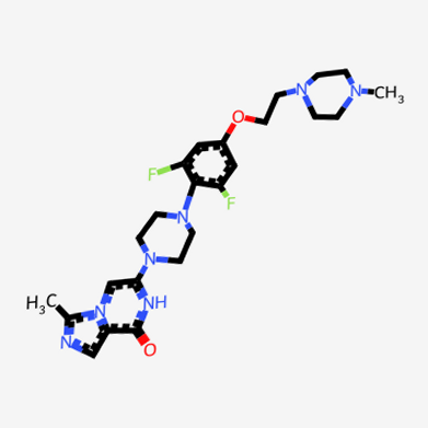 Cc1ncc2c(=O)[nH]c(N3CCN(c4c(F)cc(OCCN5CCN(C)CC5)cc4F)CC3)cn12